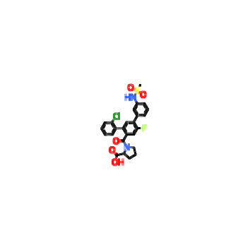 CS(=O)(=O)Nc1cccc(-c2cc(-c3ccccc3Cl)c(C(=O)N3CCCC3C(=O)O)cc2F)c1